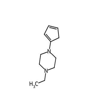 CCN1CCN(C2=CC=CC2)CC1